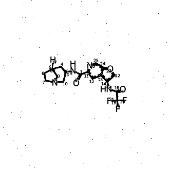 O=C(N[C@@H]1C[C@H]2CCN(C2)C1)c1cc2c(NC(=O)C(F)(F)F)coc2cn1